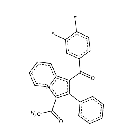 CC(=O)c1c(-c2ccccc2)c(C(=O)c2ccc(F)c(F)c2)c2ccccn12